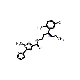 CC/C=C(/CCNC(=O)c1cc(-c2cccs2)n(C)n1)c1cc(Cl)ccc1C